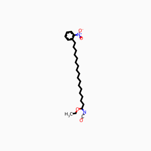 CCOC(CCCCCCCCCCCCCCCCCc1ccccc1[N+](=O)[O-])N=C=O